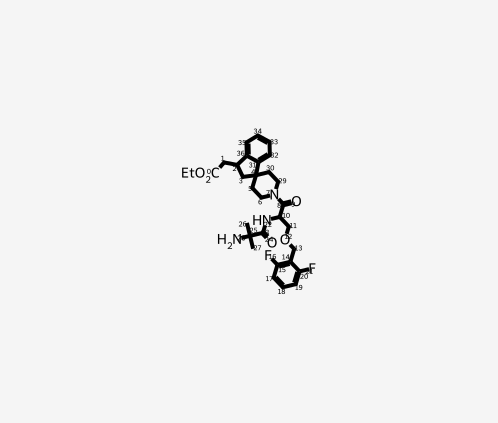 CCOC(=O)CC1CC2(CCN(C(=O)C(COCc3c(F)cccc3F)NC(=O)C(C)(C)N)CC2)c2ccccc21